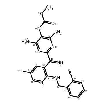 COC(=O)Nc1c(N)nc(C(=N)c2cc(F)cnc2NCc2ccccc2F)nc1N